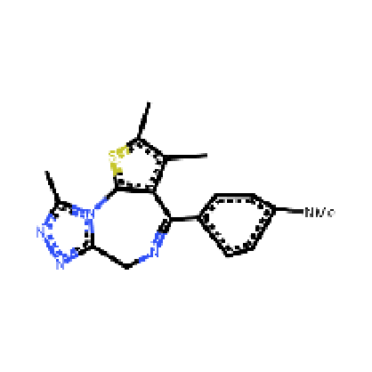 CNc1ccc(C2=NCc3nnc(C)n3-c3sc(C)c(C)c32)cc1